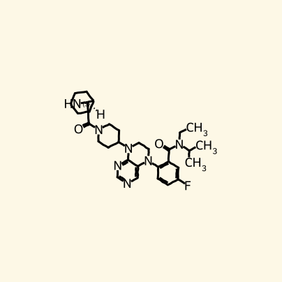 CCN(C(=O)c1cc(F)ccc1N1CCN(C2CCN(C(=O)[C@H]3NC4CCC3CC4)CC2)c2ncncc21)C(C)C